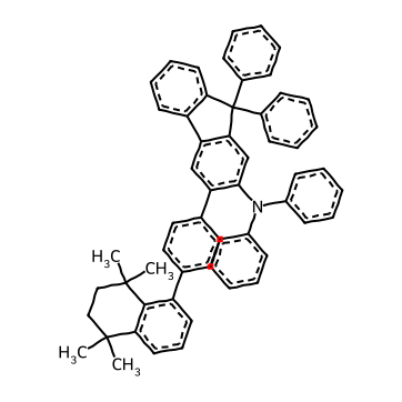 CC1(C)CCC(C)(C)c2c(-c3ccc(-c4cc5c(cc4N(c4ccccc4)c4ccccc4)C(c4ccccc4)(c4ccccc4)c4ccccc4-5)cc3)cccc21